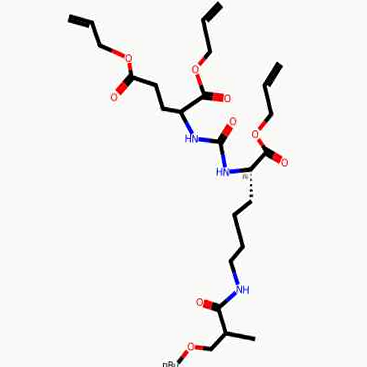 C=CCOC(=O)CCC(NC(=O)N[C@@H](CCCCNC(=O)C(C)COCCCC)C(=O)OCC=C)C(=O)OCC=C